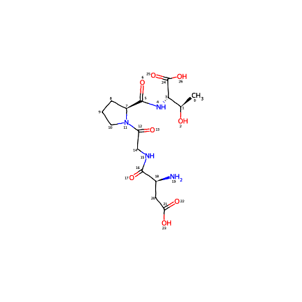 C[C@@H](O)[C@H](NC(=O)[C@@H]1CCCN1C(=O)CNC(=O)[C@@H](N)CC(=O)O)C(=O)O